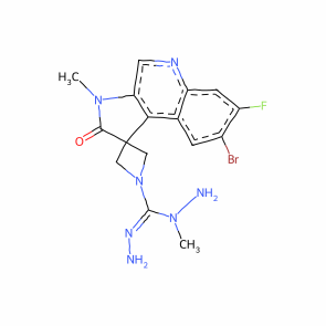 CN(N)/C(=N\N)N1CC2(C1)C(=O)N(C)c1cnc3cc(F)c(Br)cc3c12